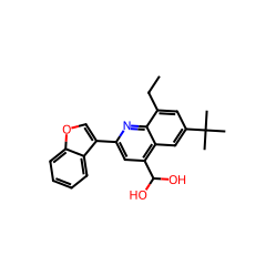 CCc1cc(C(C)(C)C)cc2c(C(O)O)cc(-c3coc4ccccc34)nc12